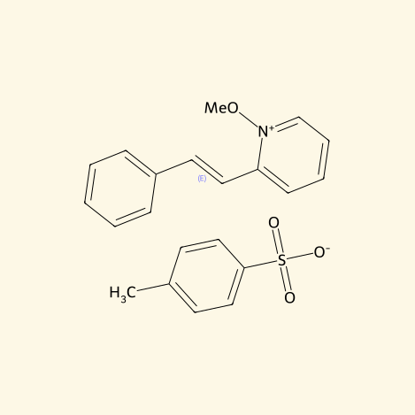 CO[n+]1ccccc1/C=C/c1ccccc1.Cc1ccc(S(=O)(=O)[O-])cc1